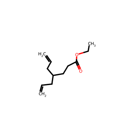 C=CCC(CC=C)CCC(=O)OCC